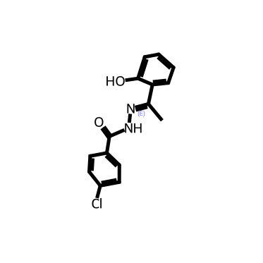 C/C(=N\NC(=O)c1ccc(Cl)cc1)c1ccccc1O